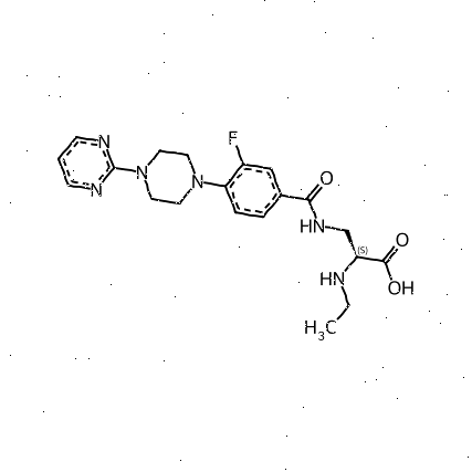 CCN[C@@H](CNC(=O)c1ccc(N2CCN(c3ncccn3)CC2)c(F)c1)C(=O)O